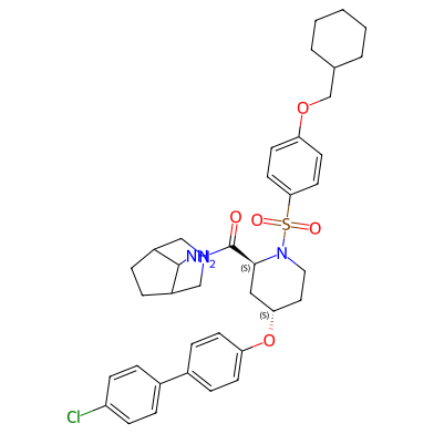 NC1C2CCC1CN(C(=O)[C@@H]1C[C@@H](Oc3ccc(-c4ccc(Cl)cc4)cc3)CCN1S(=O)(=O)c1ccc(OCC3CCCCC3)cc1)C2